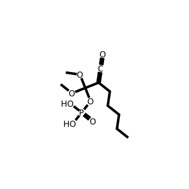 CCCCCC(=C=O)C(OC)(OC)OP(=O)(O)O